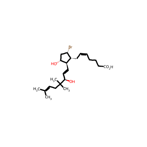 CC(C)=CCC(C)(C)[C@H](O)/C=C/[C@@H]1[C@@H](C/C=C\CCCC(=O)O)[C@@H](Br)C[C@H]1O